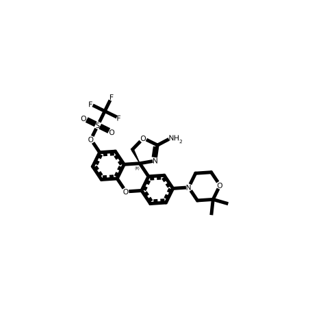 CC1(C)CN(c2ccc3c(c2)[C@]2(COC(N)=N2)c2cc(OS(=O)(=O)C(F)(F)F)ccc2O3)CCO1